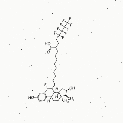 C=C1[C@H](O)C[C@H]2[C@@H]3[C@H](CCCCCCCCCC(CCC(F)(F)C(F)(F)C(F)(F)C(F)(F)F)C(=O)O)[C@@H](F)c4cc(O)ccc4[C@H]3CC[C@]12C